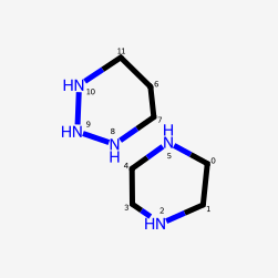 C1CNCCN1.C1CNNNC1